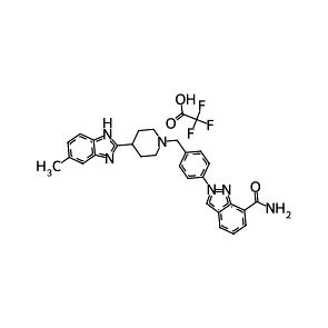 Cc1ccc2[nH]c(C3CCN(Cc4ccc(-n5cc6cccc(C(N)=O)c6n5)cc4)CC3)nc2c1.O=C(O)C(F)(F)F